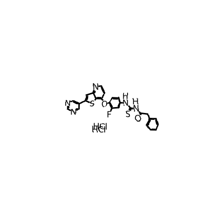 Cl.Cl.O=C(Cc1ccccc1)NC(=S)Nc1ccc(Oc2ccnc3cc(-c4cncnc4)sc23)c(F)c1